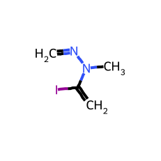 C=NN(C)C(=C)I